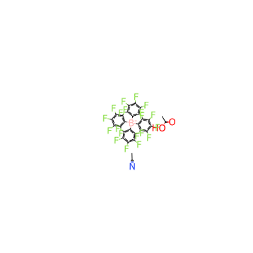 CC#N.CC(=O)O.Fc1c(F)c(F)c([B-](c2c(F)c(F)c(F)c(F)c2F)(c2c(F)c(F)c(F)c(F)c2F)c2c(F)c(F)c(F)c(F)c2F)c(F)c1F